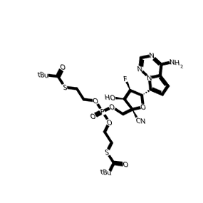 CC(C)(C)C(=O)SCCOP(=O)(OCCSC(=O)C(C)(C)C)OC[C@@]1(C#N)O[C@@H](c2ccc3c(N)ncnn23)[C@H](F)[C@@H]1O